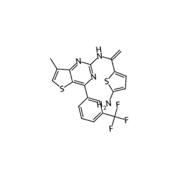 C=C(Nc1nc(-c2cccc(C(F)(F)F)c2)c2scc(C)c2n1)c1ccc(N)s1